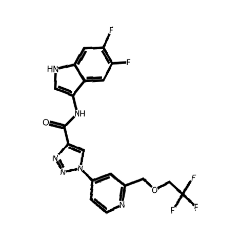 O=C(Nc1c[nH]c2cc(F)c(F)cc12)c1cn(-c2ccnc(COCC(F)(F)F)c2)nn1